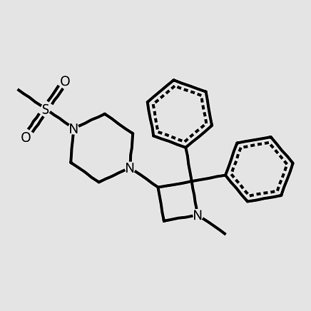 CN1CC(N2CCN(S(C)(=O)=O)CC2)C1(c1ccccc1)c1ccccc1